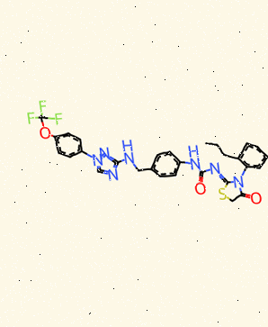 CCCc1ccc(C)cc1N1C(=O)CS/C1=N\C(=O)Nc1ccc(CNc2ncn(-c3ccc(OC(F)(F)F)cc3)n2)cc1